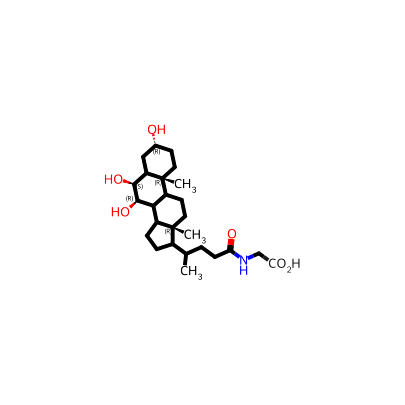 CC(CCC(=O)NCC(=O)O)C1CCC2C3C(CC[C@]12C)[C@@]1(C)CC[C@@H](O)CC1[C@H](O)[C@@H]3O